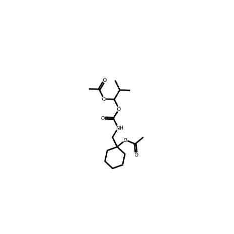 CC(=O)OC(OC(=O)NCC1(OC(C)=O)CCCCC1)C(C)C